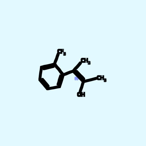 C/C(O)=C(\C)c1ccccc1C(F)(F)F